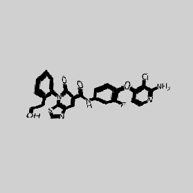 Nc1nccc(Oc2ccc(NC(=O)c3cc4ncsc4n(-c4ccccc4CCO)c3=O)cc2F)c1Cl